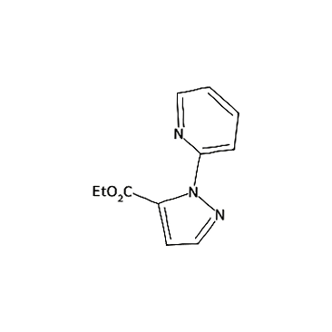 CCOC(=O)c1ccnn1-c1ccccn1